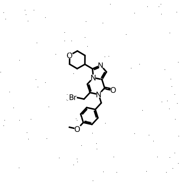 COc1ccc(Cn2c(CBr)cn3c(C4CCOCC4)ncc3c2=O)cc1